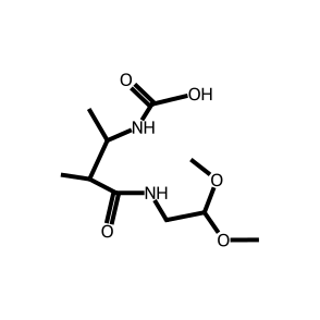 COC(CNC(=O)C(C)C(C)NC(=O)O)OC